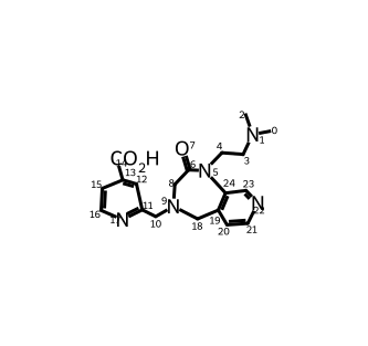 CN(C)CCN1C(=O)CN(Cc2cc(C(=O)O)ccn2)Cc2ccncc21